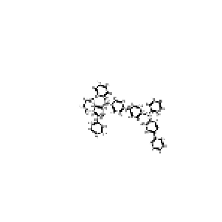 c1ccc(-c2ccc(N(c3ccccc3)c3ccc(-c4ccc(N(c5ccccc5)c5sc(-c6ccccc6)c6c5OCCO6)cc4)cc3)cc2)cc1